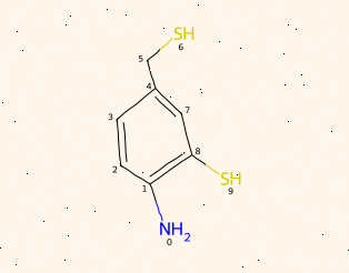 Nc1ccc(CS)cc1S